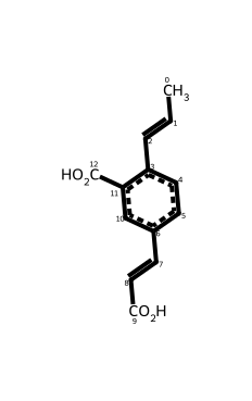 CC=Cc1ccc(C=CC(=O)O)cc1C(=O)O